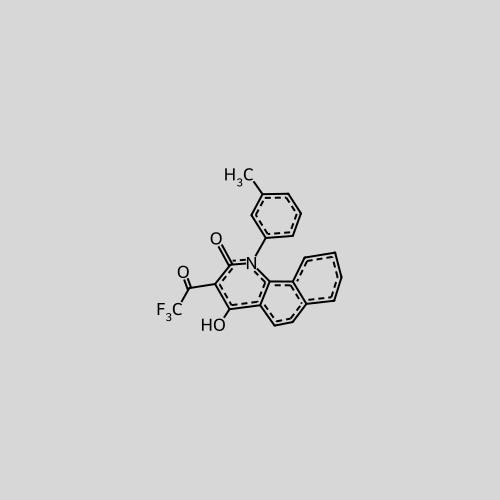 Cc1cccc(-n2c(=O)c(C(=O)C(F)(F)F)c(O)c3ccc4ccccc4c32)c1